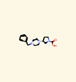 O=C(O)N1CC[C@@H](N2CCN(Cc3ccccc3)CC2)C1